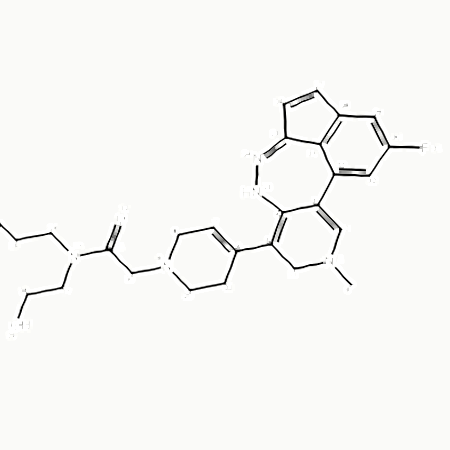 CN1C=C2C(=C(C3=CCN(CC(=O)N(CCO)CCO)CC3)C1)NN=C1C=Cc3cc(F)cc2c31